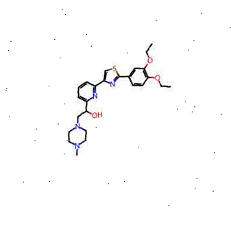 CCOc1ccc(-c2nc(-c3cccc(C(O)CN4CCN(C)CC4)n3)cs2)cc1OCC